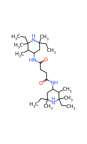 CCC1(C)CC(NC(=O)CCC(=O)NC2CC(C)(CC)NC(C)(CC)C2C)C(C)C(C)(CC)N1